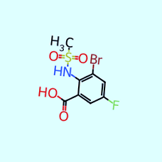 CS(=O)(=O)Nc1c(Br)cc(F)cc1C(=O)O